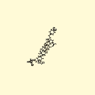 C=C(C)[C@@H]1CC[C@]2(NCCN3CCS(=O)(=O)CC3)CC[C@]3(C)C(CCC4[C@@]5(C)CC=C(C6=CCC(COc7c[nH]n7CC)(C(=O)OCC)CC6)C(C)(C)C5CC[C@]43C)C12